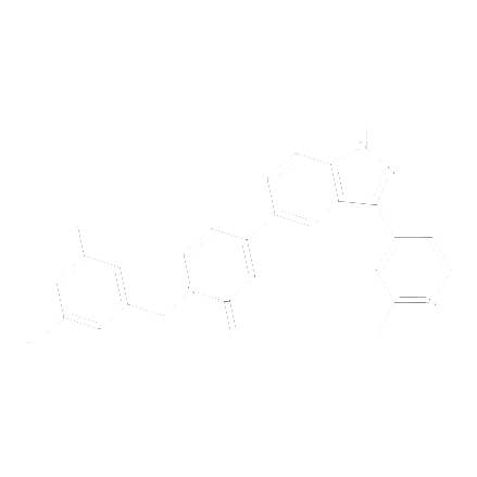 Cc1cc(-c2n[nH]c3ccc(-c4ccn(Cc5cc(F)cc(Br)c5)c(=O)c4)cc23)ccn1